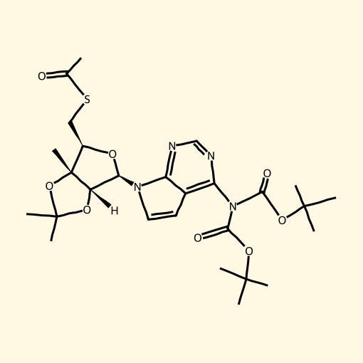 CC(=O)SC[C@H]1O[C@@H](n2ccc3c(N(C(=O)OC(C)(C)C)C(=O)OC(C)(C)C)ncnc32)[C@@H]2OC(C)(C)O[C@]12C